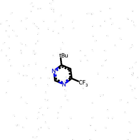 CC(C)(C)c1cc(C(F)(F)F)ncn1